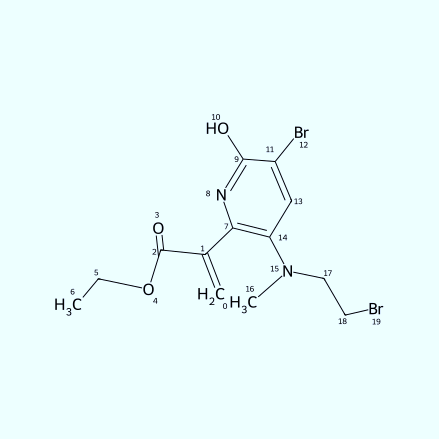 C=C(C(=O)OCC)c1nc(O)c(Br)cc1N(C)CCBr